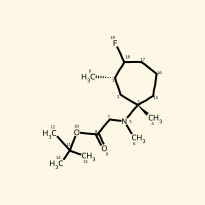 C[C@H]1C[C@@](C)(N(C)CC(=O)OC(C)(C)C)CCCC1F